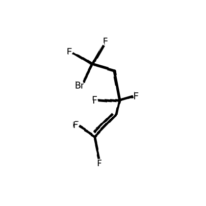 FC(F)=CC(F)(F)CC(F)(F)Br